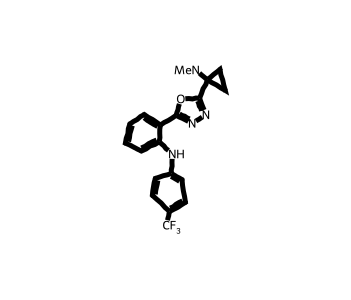 CNC1(c2nnc(-c3ccccc3Nc3ccc(C(F)(F)F)cc3)o2)CC1